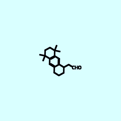 CC1(C)CCC(C)(C)c2cc3c(cc21)CCCC3CC=O